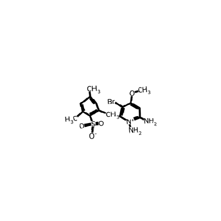 COc1cc(N)[n+](N)cc1Br.Cc1cc(C)c(S(=O)(=O)[O-])c(C)c1